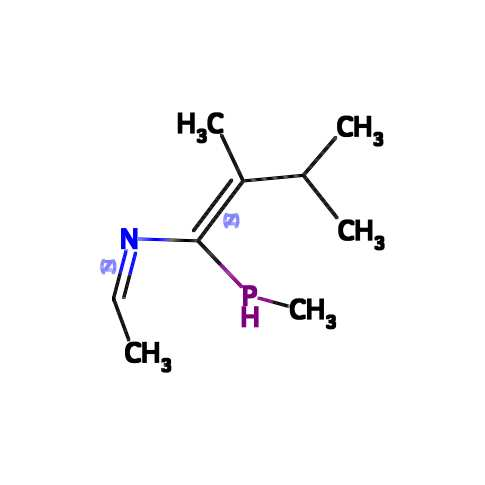 C/C=N\C(PC)=C(/C)C(C)C